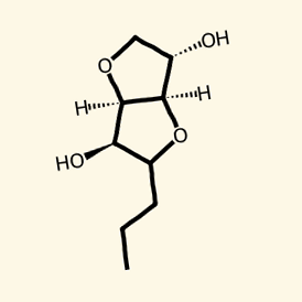 CCCC1O[C@H]2[C@H](OC[C@@H]2O)[C@@H]1O